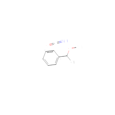 COC(C)c1ccccc1.N=C=O